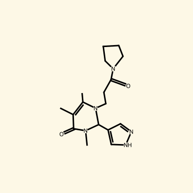 CC1=C(C)N(CCC(=O)N2CCCC2)C(c2cn[nH]c2)N(C)C1=O